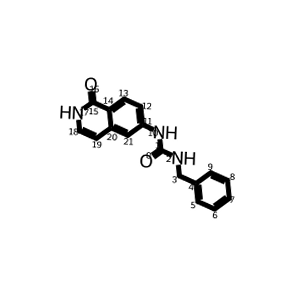 O=C(NCc1ccccc1)Nc1ccc2c(=O)[nH]ccc2c1